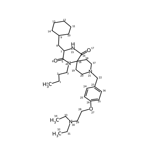 CCCCN1C(=O)C(CC2CCCCC2)NC(=O)C12CCN(Cc1ccc(OCCN(CC)CC)cc1)CC2